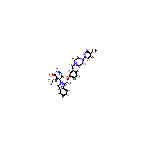 O=c1[nH]ncc(N2Cc3ccccc3[C@@H]2COc2cccc(CN3CCN(c4ccc(C(F)(F)F)cn4)CC3)c2)c1C(F)(F)F